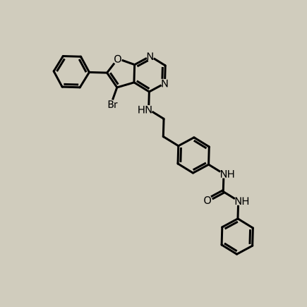 O=C(Nc1ccccc1)Nc1ccc(CCNc2ncnc3oc(-c4ccccc4)c(Br)c23)cc1